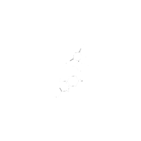 CCCC(=O)N[C@H]1C(O)O[C@H](COC2(C)OC(=O)OC2=O)[C@@H](O)[C@@H]1O